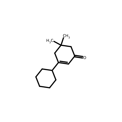 CC1(C)CC(=O)C=C(C2CCCCC2)C1